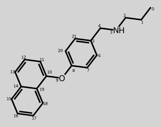 CCCNCc1ccc(Oc2cccc3ccccc23)cc1